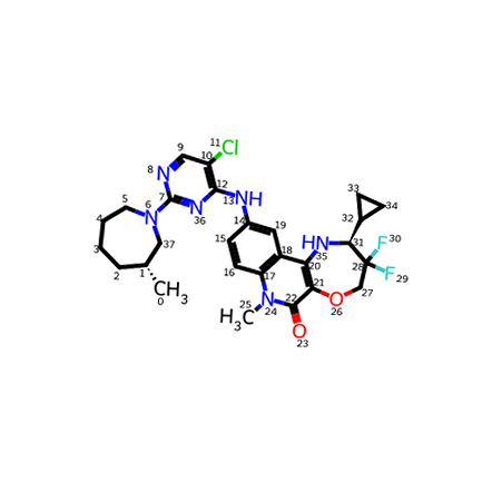 C[C@@H]1CCCCN(c2ncc(Cl)c(Nc3ccc4c(c3)c3c(c(=O)n4C)OCC(F)(F)[C@H](C4CC4)N3)n2)C1